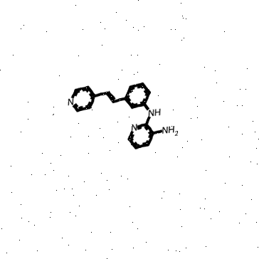 Nc1cccnc1Nc1cccc(/C=C/c2ccncc2)c1